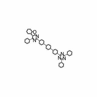 c1ccc(-c2nc(-c3ccccc3)nc(-c3ccc(-c4ccc(-c5ccc(-c6nc(-c7ccccc7)c7c(n6)oc6ccccc67)cc5)cc4)cc3)n2)cc1